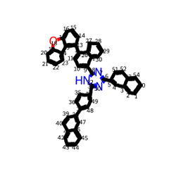 c1ccc2cc(C3=NC(c4ccc(-c5cccc6oc7ccccc7c56)c5ccccc45)NC(c4ccc(-c5ccc6ccccc6c5)cc4)=N3)ccc2c1